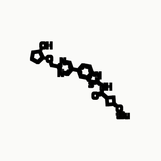 CC(C)(C)OC1CC(C(=O)Nc2nc3ccc(-c4cnc(CO[C@H]5CCC[C@@H]5O)nc4)cc3s2)C1